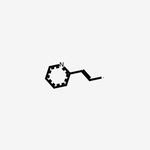 [CH2]/C=C/c1ccccn1